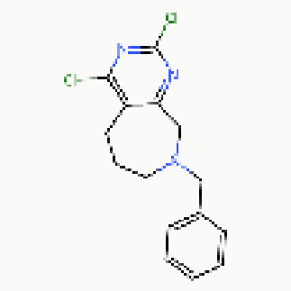 Clc1nc(Cl)c2c(n1)CN(Cc1ccccc1)CCC2